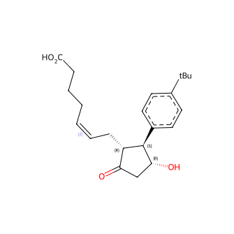 CC(C)(C)c1ccc([C@H]2[C@H](O)CC(=O)[C@@H]2C/C=C\CCCC(=O)O)cc1